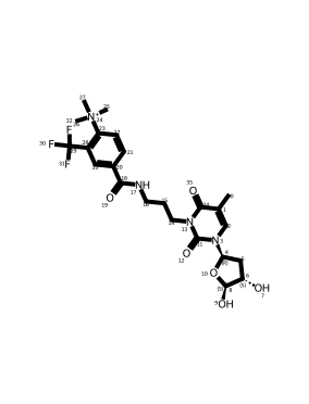 Cc1cn([C@H]2C[C@H](O)[C@@H](O)O2)c(=O)n(CCCNC(=O)c2ccc([N+](C)(C)C)c(C(F)(F)F)c2)c1=O